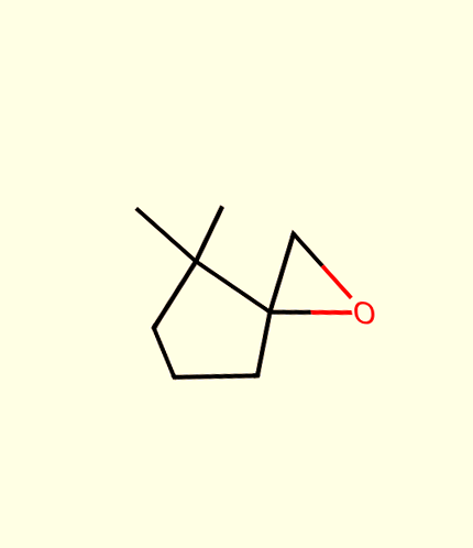 CC1(C)CCCC12CO2